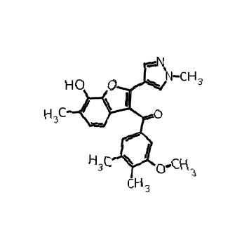 COc1cc(C(=O)c2c(-c3cnn(C)c3)oc3c(O)c(C)ccc23)cc(C)c1C